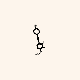 CCCOc1ccc(C#CC2CCC(CC)CC2)c(F)c1F